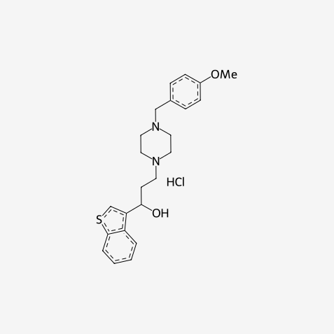 COc1ccc(CN2CCN(CCC(O)c3csc4ccccc34)CC2)cc1.Cl